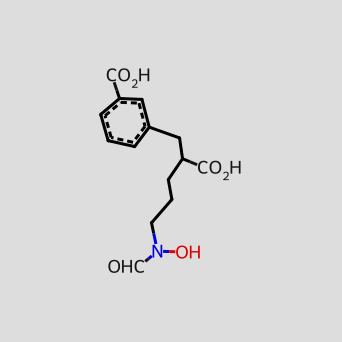 O=CN(O)CCCC(Cc1cccc(C(=O)O)c1)C(=O)O